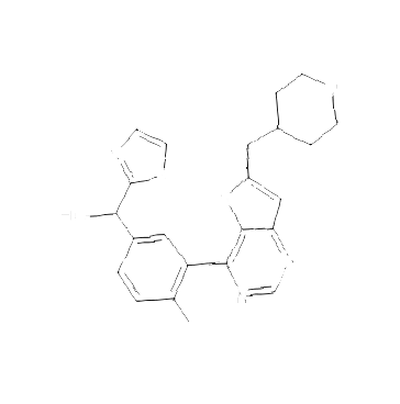 OC(c1ccc(F)c(-c2ncnc3cc(CC4CCOCC4)sc23)c1)c1nccs1